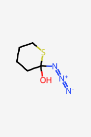 [N-]=[N+]=NC1(O)CCCCS1